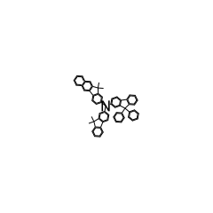 CC1(C)c2ccccc2-c2ccc(N(c3ccc4c(c3)C(C)(C)c3cc5ccccc5cc3-4)c3ccc4c(c3)C(c3ccccc3)(c3ccccc3)c3ccccc3-4)cc21